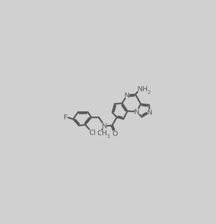 CN(Cc1ccc(F)cc1Cl)C(=O)c1ccc2nc(N)c3cncn3c2c1